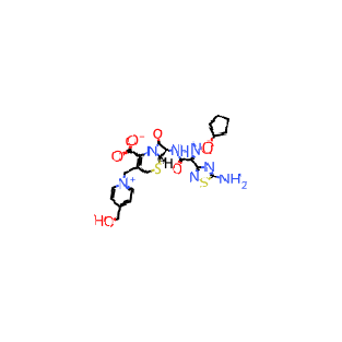 Nc1nc(C(=NOC2CCCC2)C(=O)NC2C(=O)N3C(C(=O)[O-])=C(C[n+]4ccc(CO)cc4)CS[C@@H]23)ns1